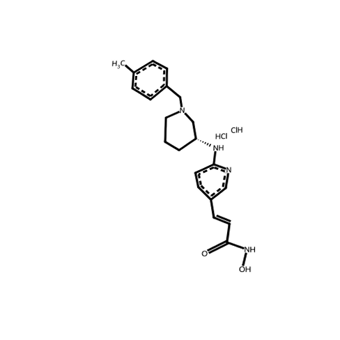 Cc1ccc(CN2CCC[C@@H](Nc3ccc(/C=C/C(=O)NO)cn3)C2)cc1.Cl.Cl